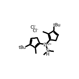 CC1=[C]([Zr+2]([C]2=C(C)C(C(C)(C)C)=CC2)[SiH](C)C)CC=C1C(C)(C)C.[Cl-].[Cl-]